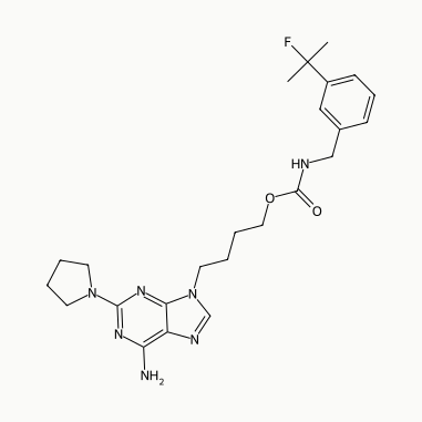 CC(C)(F)c1cccc(CNC(=O)OCCCCn2cnc3c(N)nc(N4CCCC4)nc32)c1